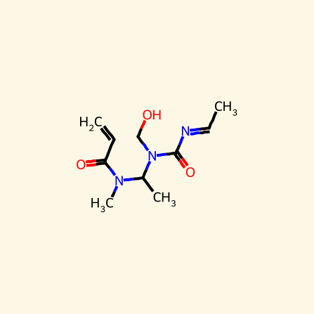 C=CC(=O)N(C)C(C)N(CO)C(=O)N=CC